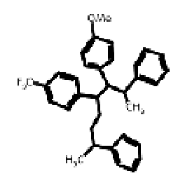 COc1ccc(C([C](CCC(C)c2ccccc2)c2ccc(C(F)(F)F)cc2)C(C)c2ccccc2)cc1